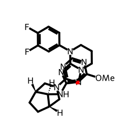 COc1cc(N2C[C@H]3CC[C@@H](C2)[C@@H]3Nc2nc3n(n2)CCCN3c2ccc(F)c(F)c2)ncn1